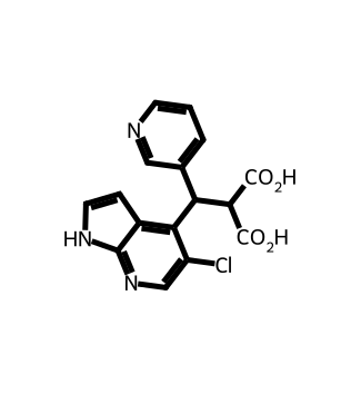 O=C(O)C(C(=O)O)C(c1cccnc1)c1c(Cl)cnc2[nH]ccc12